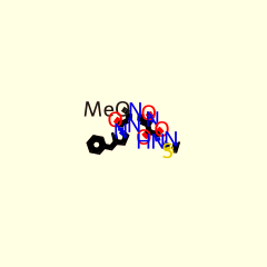 COc1nc2onc(C(=O)C(=O)Nc3nccs3)c2nc1C(=O)N1CCC(Cc2ccccc2)C1